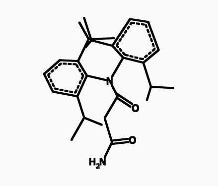 CC(C)c1cccc(C(C)C)c1N(C(=O)CC(N)=O)c1c(C(C)C)cccc1C(C)C